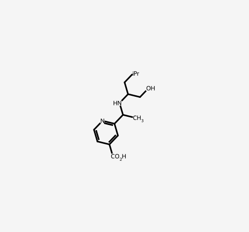 CC(C)CC(CO)NC(C)c1cc(C(=O)O)ccn1